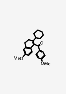 COc1ccc(C(=O)C2=C(C3CCCCC3)CCc3cc(OC)ccc32)cc1